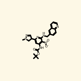 CN1CC(c2cc(NC(=O)OC(C)(C)C)c([N+](=O)[O-])c(NCc3ccc4ncccc4c3)n2)C=N1